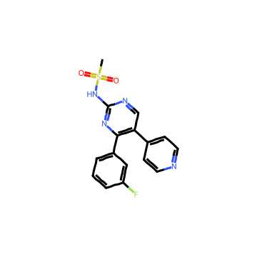 CS(=O)(=O)Nc1ncc(-c2ccncc2)c(-c2cccc(F)c2)n1